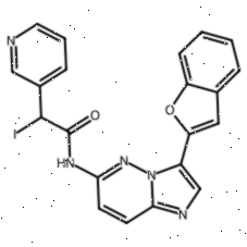 O=C(Nc1ccc2ncc(-c3cc4ccccc4o3)n2n1)C(I)c1cccnc1